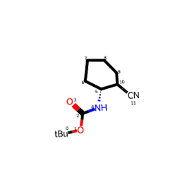 CC(C)(C)OC(=O)N[C@@H]1CCCCC1C#N